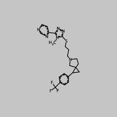 Cn1c(SCCCN2CCC3(CC3c3ccc(C(F)(F)F)cc3)C2)nnc1-c1ccncn1